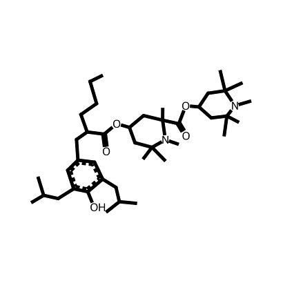 CCCCC(Cc1cc(CC(C)C)c(O)c(CC(C)C)c1)C(=O)OC1CC(C)(C)N(C)C(C)(C(=O)OC2CC(C)(C)N(C)C(C)(C)C2)C1